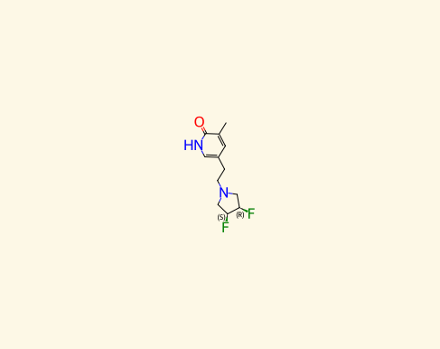 Cc1cc(CCN2C[C@@H](F)[C@@H](F)C2)c[nH]c1=O